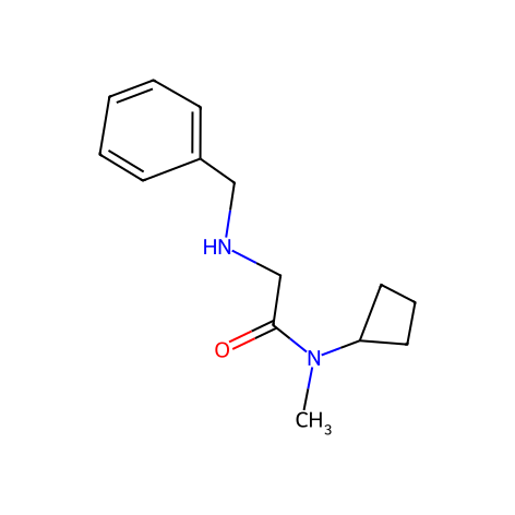 CN(C(=O)CNCc1ccccc1)C1CCC1